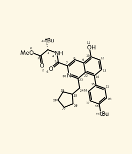 COC(=O)[C@@H](NC(=O)c1cc2c(O)ccc(-c3ccc(C(C)(C)C)cc3)c2c(CC2CCCC2)n1)C(C)(C)C